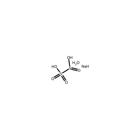 O.O=S(O)S(=O)(=O)O.[NaH]